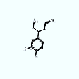 C=CCC(CO)c1ccc(Cl)c(Cl)c1